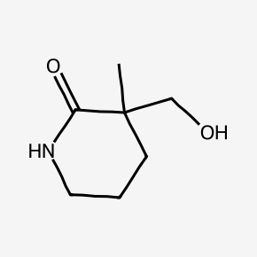 CC1(CO)CCCNC1=O